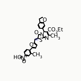 CCOC(=O)C1=C(C)N=c2s/c(=C\c3ccc(-c4ccc([N+](=O)O)cc4C)o3)c(=O)n2C1c1ccc2c(c1)OCC2